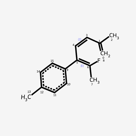 C=C(C)/C=C\C(=C(\C)F)c1ccc(C)cc1